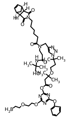 BCCOCCOc1nc(OC(=O)CC(C)(C)OCCC(C)(C)n2cc(CN(CCC(=O)NC(C)(C)CO)C(=O)CCCCCN3C(=O)[C@@H]4[C@H](C3=O)[C@H]3C=C[C@@H]4C3)nn2)nc(Oc2ccccc2)n1